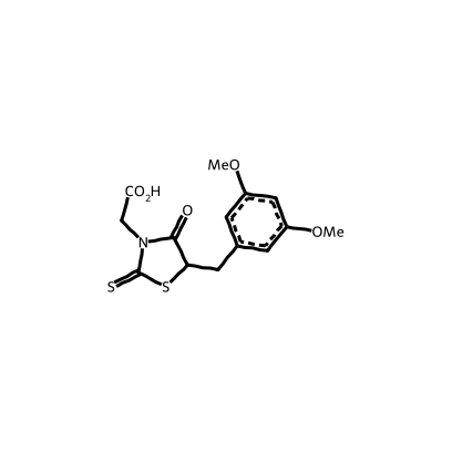 COc1cc(CC2SC(=S)N(CC(=O)O)C2=O)cc(OC)c1